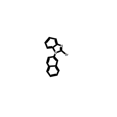 Brc1nc2ccccc2n1-c1ccc2ccccc2c1